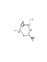 C[C@@H]1CC(Br)C[C@H](C)O1